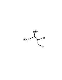 CCCCC(C(=O)O)C(O)CCl